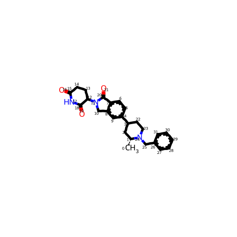 C[C@@H]1CC(c2ccc3c(c2)CN(C2CCC(=O)NC2=O)C3=O)CCN1Cc1ccccc1